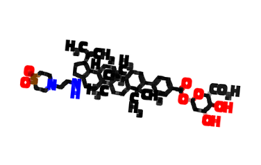 C=C(C)[C@@H]1CC[C@]2(NCCN3CCS(=O)(=O)CC3)CC[C@]3(C)[C@H](CCC4[C@@]5(C)CC=C(c6ccc(C(=O)O[C@H]7C[C@@H](O)[C@H](O)[C@@H](C(=O)O)O7)cc6)C(C)(C)C5CC[C@]43C)C12